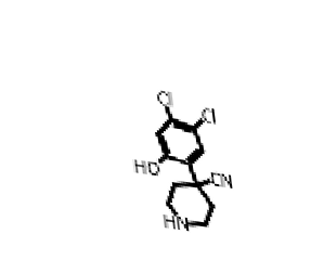 N#CC1(c2cc(Cl)c(Cl)cc2O)CCNCC1